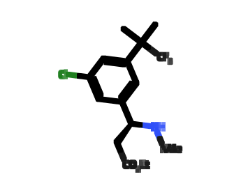 CCOC(=O)C[C@H](NNC)c1cc(Cl)cc(C(C)(C)C(F)(F)F)c1